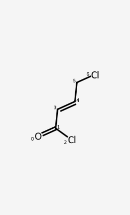 O=C(Cl)/C=C/CCl